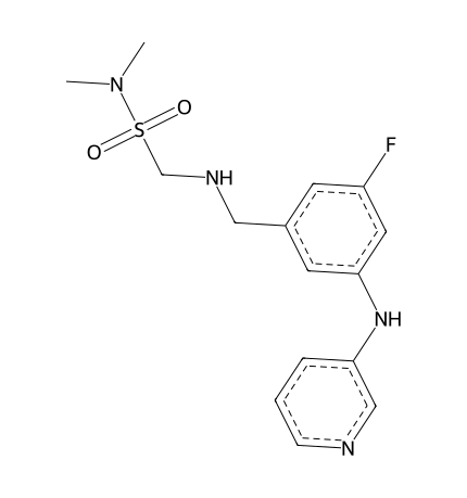 CN(C)S(=O)(=O)CNCc1cc(F)cc(Nc2cccnc2)c1